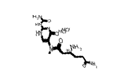 CN(C(=O)C[C@H](N)CCC(N)=O)C1CNC(NC(N)=O)=NC1=O.Cl.Cl